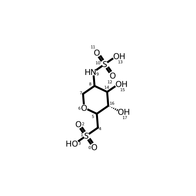 O=S(=O)(O)CC1OCC(NS(=O)(=O)O)C(O)[C@@H]1O